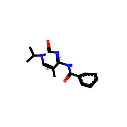 CC(=C/N(C)C(C)C)/C(=N\C=O)NC(=O)c1ccccc1